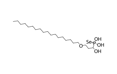 CCCCCCCCCCCCCCCCCCOCCC(O)P(O)(O)=[Se]